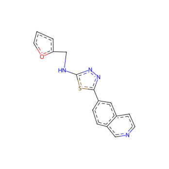 c1coc(CNc2nnc(-c3ccc4cnccc4c3)s2)c1